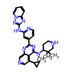 CN(c1nc(-c2ccnc(Nc3nc4ccccn4n3)c2)nc2cncc(C3CC3)c12)C1CCNCC1(C)C